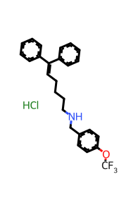 Cl.FC(F)(F)Oc1ccc(CNCCCCC=C(c2ccccc2)c2ccccc2)cc1